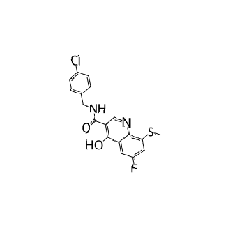 CSc1cc(F)cc2c(O)c(C(=O)NCc3ccc(Cl)cc3)cnc12